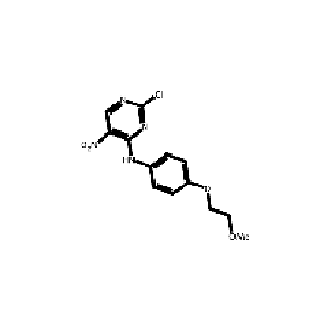 COCCOc1ccc(Nc2nc(Cl)ncc2[N+](=O)[O-])cc1